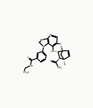 NC(=O)[C@H]1[C@H](Nc2c(Cl)cnc3c2N(c2cccc(C(=O)NCC(=O)O)c2)CN3)[C@@H]2C=C[C@@H]1C2